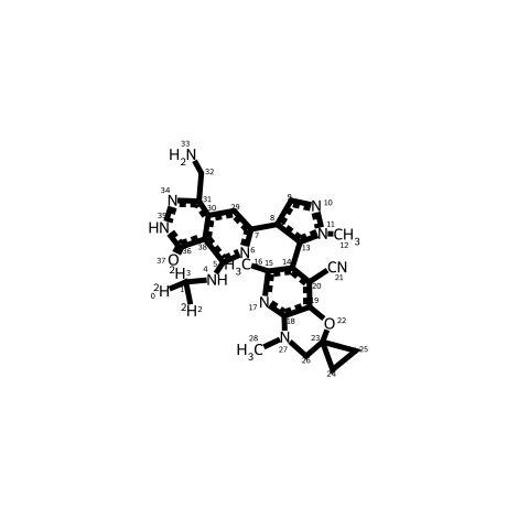 [2H]C([2H])([2H])Nc1nc(-c2cnn(C)c2-c2c(C)nc3c(c2C#N)OC2(CC2)CN3C)cc2c(CN)n[nH]c(=O)c12